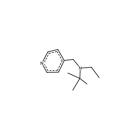 CCN(Cc1ccncc1)C(C)(C)C